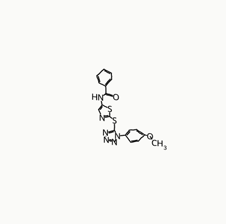 COc1ccc(-n2nnnc2Sc2ncc(NC(=O)c3ccccc3)s2)cc1